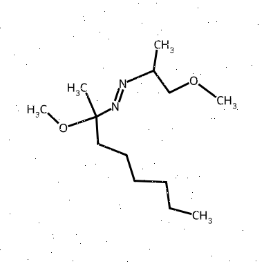 CCCCCCC(C)(N=NC(C)COC)OC